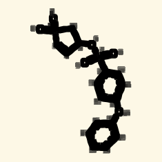 O=S1(=O)C=CC(OS(=O)(=O)c2ccc(Oc3ccccc3)cc2)C1